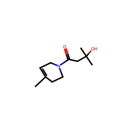 CC1=CCN(C(=O)CC(C)(C)O)CC1